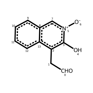 O=CCc1c(O)[n+]([O-])cc2ccccc12